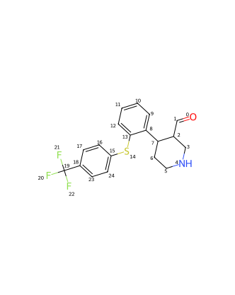 O=CC1CNCCC1c1ccccc1Sc1ccc(C(F)(F)F)cc1